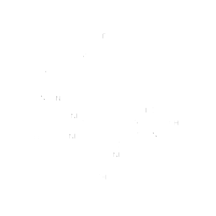 Cc1cc2cc(C(=O)c3cnn(-c4ccc(OC5C=CC=CC5F)cc4C)c3N)[nH]c2cc1NSCC(=O)NC(C)C